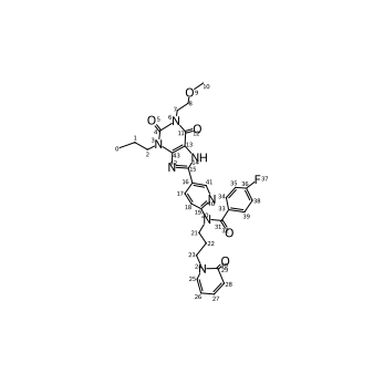 CCCn1c(=O)n(CCOC)c(=O)c2[nH]c(-c3ccc(N(CCCn4ccccc4=O)C(=O)c4ccc(F)cc4)nc3)nc21